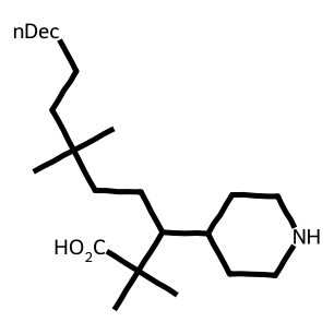 CCCCCCCCCCCCC(C)(C)CCC(C1CCNCC1)C(C)(C)C(=O)O